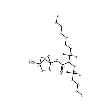 CCCCCCCC(C)(C)C(CC(C)(C)CCCC)C(=O)OC12CCC(O)(CC1)C2